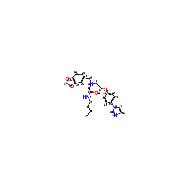 CCCCNC(=O)CN(CCOc1ccc(-n2ccnc2)cc1)Cc1ccc2c(c1)OCO2